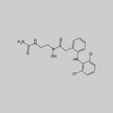 NC(=O)NCCN(O)C(=O)Cc1ccccc1Nc1c(Cl)cccc1Cl